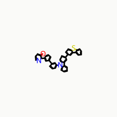 c1cc(-c2ccc3oc4cccnc4c3c2)cc(-n2c3ccccc3c3cc(-c4ccc5sc6ccccc6c5c4)ccc32)c1